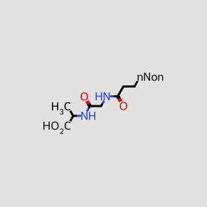 CCCCCCCCCCCC(=O)NCC(=O)NC(C)C(=O)O